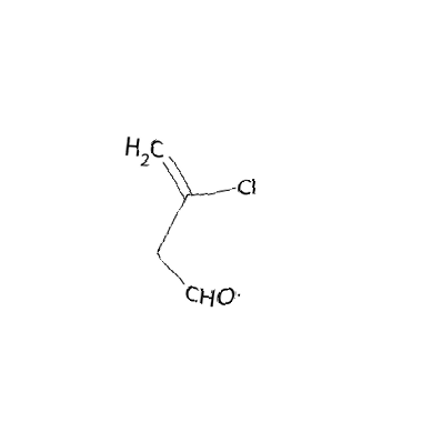 C=C(Cl)C[C]=O